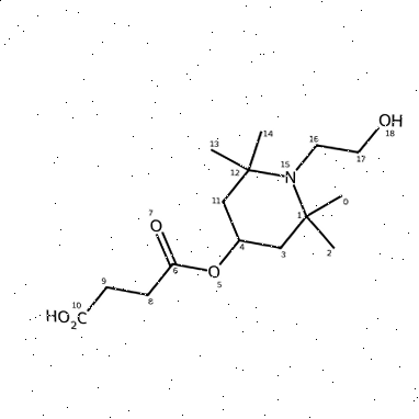 CC1(C)CC(OC(=O)CCC(=O)O)CC(C)(C)N1CCO